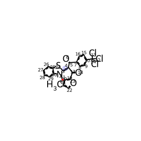 CCN1/C(=C(/C(=O)c2ccc(C(Cl)(Cl)Cl)cc2)C(=O)c2ccco2)Sc2ccccc21